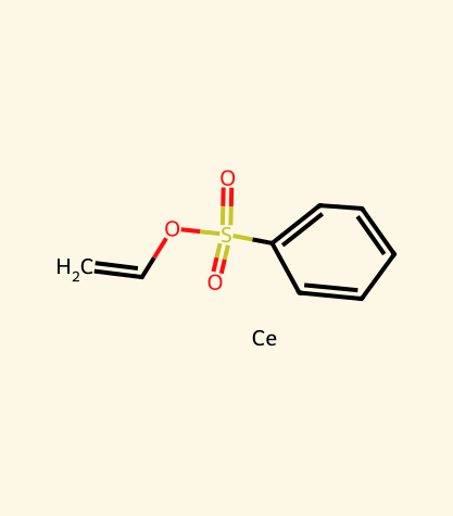 C=COS(=O)(=O)c1ccccc1.[Ce]